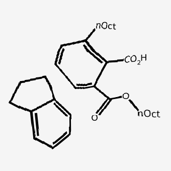 CCCCCCCCOC(=O)c1cccc(CCCCCCCC)c1C(=O)O.c1ccc2c(c1)CCC2